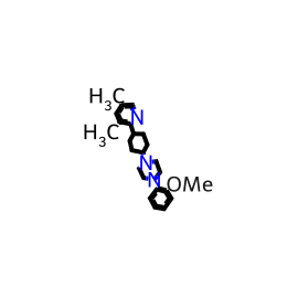 COc1ccccc1N1CCN(C2CCC(c3ncc(C)cc3C)CC2)CC1